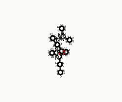 c1ccc(-c2ccc(-c3cc(-c4ccccc4)nc(-c4ccccc4-n4c5ccccc5c5cc6c(cc54)c4ccccc4n6-c4nc(-c5ccccc5)nc(-c5ccccc5)n4)n3)cc2)cc1